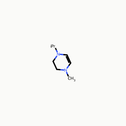 CC(C)N1C=CN(C)CC1